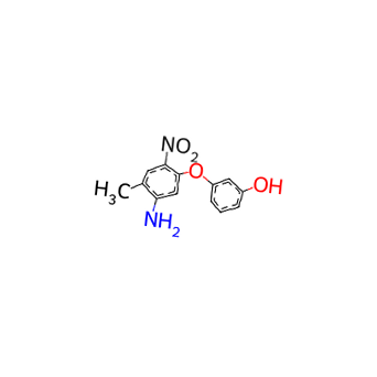 Cc1cc([N+](=O)[O-])c(Oc2cccc(O)c2)cc1N